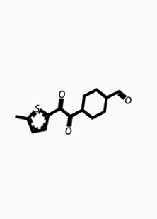 Cc1ccc(C(=O)C(=O)C2CCC(C=O)CC2)s1